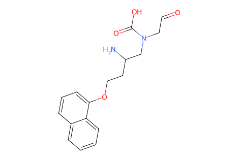 NC(CCOc1cccc2ccccc12)CN(CC=O)C(=O)O